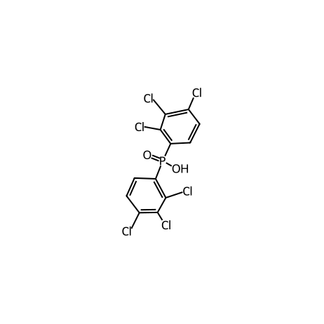 O=P(O)(c1ccc(Cl)c(Cl)c1Cl)c1ccc(Cl)c(Cl)c1Cl